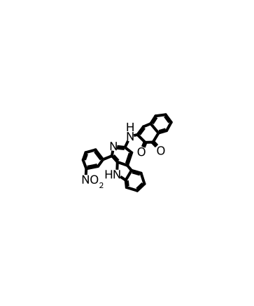 O=C1C(=O)c2ccccc2C=C1Nc1cc2c([nH]c3ccccc32)c(-c2cccc([N+](=O)[O-])c2)n1